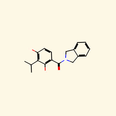 CC(C)c1c(O)ccc(C(=O)N2Cc3ccccc3C2)c1O